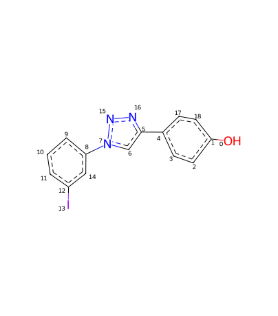 Oc1ccc(-c2cn(-c3cccc(I)c3)nn2)cc1